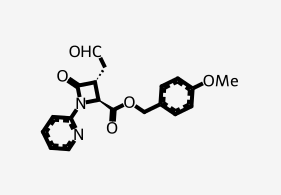 COc1ccc(COC(=O)[C@@H]2[C@@H](CC=O)C(=O)N2c2ccccn2)cc1